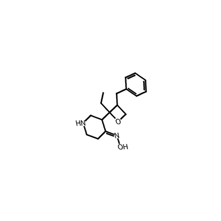 CCC1(C2CNCCC2=NO)OCC1Cc1ccccc1